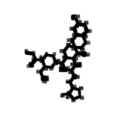 C=CC(=O)N1CCN(C2NC(OCC3CCCN3C)NC3C(=O)[C@]4(CCc5ccc(Cl)cc5S4)CCC32)CC1CC#N